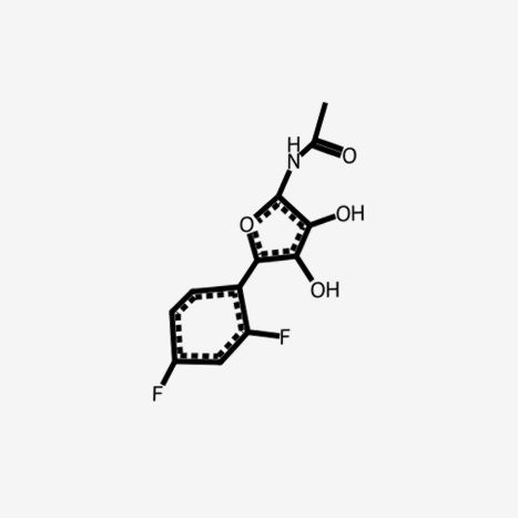 CC(=O)Nc1oc(-c2ccc(F)cc2F)c(O)c1O